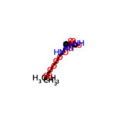 CC(C)(C)OC(=O)CCOCCOCCOCCOCCNC(=O)CNc1cccc2c1C(=O)N(C1CCC(=O)NC1=O)C2=O